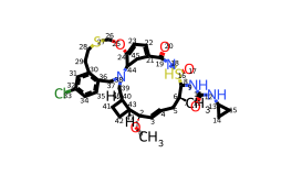 CO[C@H]1/C=C/C[C@H](C)C(NC(=O)NC2CC2)/[SH](=O)=N\C(=O)C2=CC=C3OCSCCc4cc(Cl)ccc4CN(C[C@@H]4CC[C@H]41)C3C2